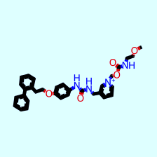 COCCNC(=O)OC[n+]1cccc(CNC(=O)Nc2ccc(OCCc3ccccc3-c3ccccc3)cc2)c1